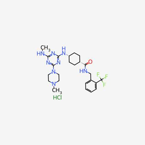 CNc1nc(N[C@H]2CC[C@@H](C(=O)NCc3ccccc3C(F)(F)F)CC2)nc(N2CCN(C)CC2)n1.Cl